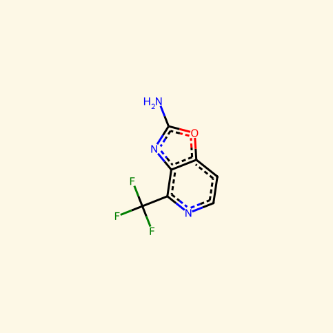 Nc1nc2c(C(F)(F)F)nccc2o1